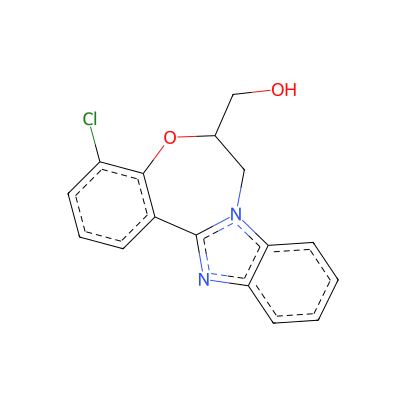 OCC1Cn2c(nc3ccccc32)-c2cccc(Cl)c2O1